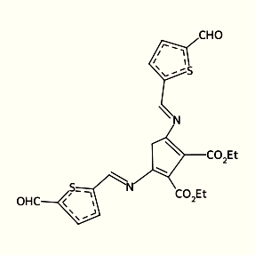 CCOC(=O)C1=C(/N=C/c2ccc(C=O)s2)CC(/N=C/c2ccc(C=O)s2)=C1C(=O)OCC